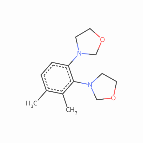 Cc1ccc(N2CCOC2)c(N2CCOC2)c1C